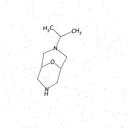 CC(C)N1CC2CNCC(C1)O2